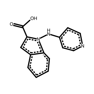 O=C(O)c1cc2ccccc2n1Nc1ccncc1